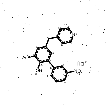 CC(=O)c1cc(Cc2ccncc2)cc(-c2cccc([N+](=O)[O-])c2)c1O.Cl